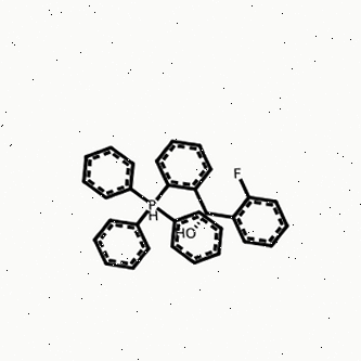 O[C@@H](c1ccccc1F)c1ccccc1[PH](c1ccccc1)(c1ccccc1)c1ccccc1